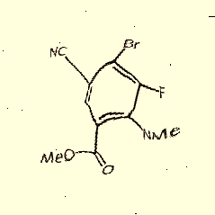 CNc1c(C(=O)OC)cc(C#N)c(Br)c1F